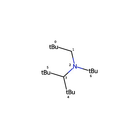 CC(C)(C)CN(C(C(C)(C)C)C(C)(C)C)C(C)(C)C